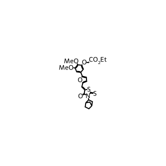 CCOC(=O)COc1cc(-c2ccc(C=C3SC(=S)N(C4CC5CCC4C5)C3=O)o2)cc(OC)c1OC